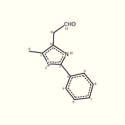 Cc1sc(-c2ccccc2)nc1C[C]=O